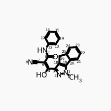 Cn1nc(C(O)=C(C#N)C(=O)Nc2ccccc2)c2c1-c1ccccc1C2